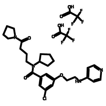 O=C(CCCN(C(=O)c1cc(Cl)cc(OCCNc2ccncc2)c1)C1CCCC1)N1CCCC1.O=C(O)C(F)(F)F.O=C(O)C(F)(F)F